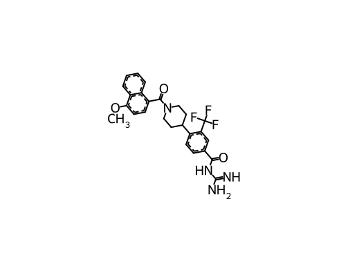 COc1ccc(C(=O)N2CCC(c3ccc(C(=O)NC(=N)N)cc3C(F)(F)F)CC2)c2ccccc12